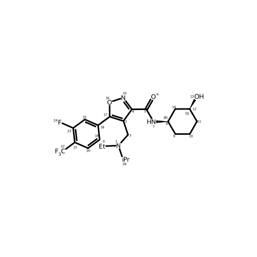 CCN(Cc1c(C(=O)N[C@@H]2CCC[C@H](O)C2)noc1-c1ccc(C(F)(F)F)c(F)c1)C(C)C